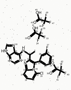 CC(Nc1ncnc2[nH]cnc12)c1nc2cccc(Cl)n2c1-c1cccc(F)c1.O=C(O)C(F)(F)F.O=C(O)C(F)(F)F.O=C(O)C(F)(F)F